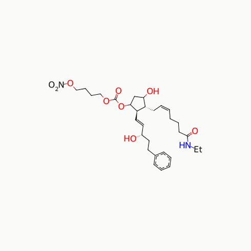 CCNC(=O)CCC/C=C\C[C@H]1C(O)CC(OC(=O)OCCCCO[N+](=O)[O-])[C@@H]1/C=C/[C@@H](O)CCc1ccccc1